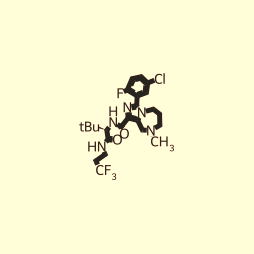 CN1CCCn2c(-c3cc(Cl)ccc3F)nc(C(=O)N[C@H](C(=O)NCCC(F)(F)F)C(C)(C)C)c2C1